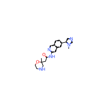 Cn1cncc1-c1ccc2cnc(NC(=O)CC3(C)CNCCO3)cc2c1